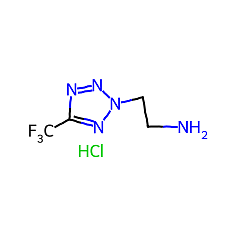 Cl.NCCn1nnc(C(F)(F)F)n1